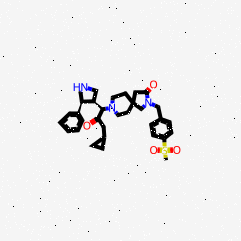 CS(=O)(=O)c1ccc(CN2CC3(CCN(C(C(=O)CC4CC4)[C@@H]4CNC[C@@H]4c4ccccc4)CC3)CC2=O)cc1